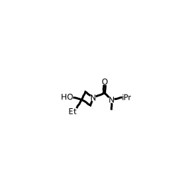 CCC1(O)CN(C(=O)N(C)C(C)C)C1